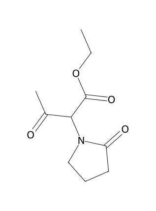 CCOC(=O)C(C(C)=O)N1CCCC1=O